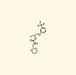 CCC(COc1cccc(C(F)(F)F)c1)OC(=O)NCC1OCCCS1